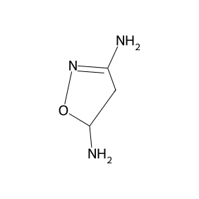 NC1=NOC(N)C1